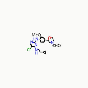 COc1cc(C2CN(C=O)CCO2)ccc1Nc1ncc(Cl)c(NCCC2CC2)n1